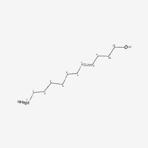 CCCCCCCCCCCCCC=CCCC[O]